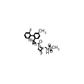 Cc1ccc([C@]2(F)C[C@H]2C(=O)N2C[C@@H](F)[C@H]2CNS(C)(=O)=O)c(-c2c(F)cccc2F)c1